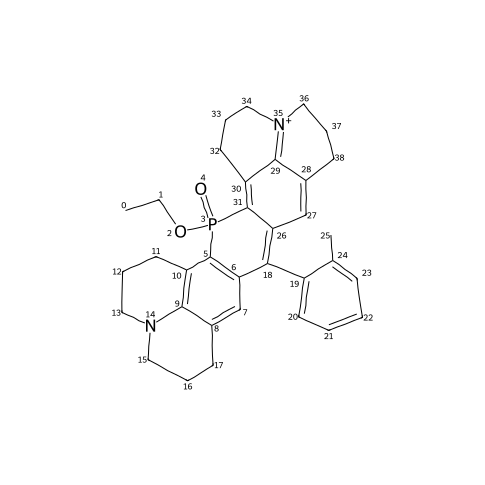 CCOP1(=O)c2c(cc3c4c2CCCN4CCC3)C(c2ccccc2C)=c2cc3c4c(c21)CCC[N+]=4CCC3